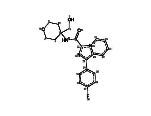 O=C(NC1(CO)CCOCC1)c1nc(-c2ccc(F)cc2)c2ccccn12